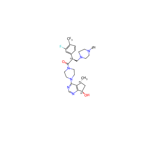 CC(C)N1CCN(C[C@@H](C(=O)N2CCN(c3ncnc4c3[C@H](C)C[C@H]4O)CC2)c2ccc(C(F)(F)F)c(F)c2)CC1